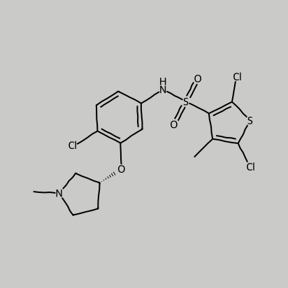 Cc1c(Cl)sc(Cl)c1S(=O)(=O)Nc1ccc(Cl)c(O[C@@H]2CCN(C)C2)c1